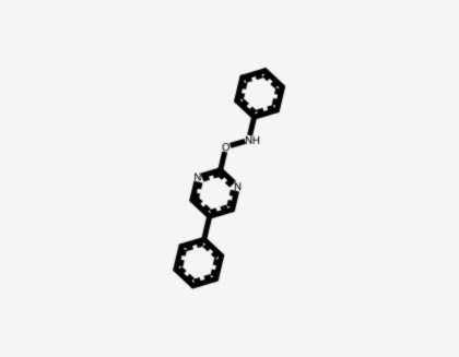 c1ccc(NOc2ncc(-c3ccccc3)cn2)cc1